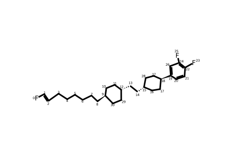 FC=CCCCCCC[C@H]1CC[C@H](CC[C@H]2CC[C@H](c3ccc(F)c(F)c3)CC2)CC1